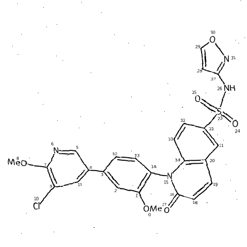 COc1cc(-c2cnc(OC)c(Cl)c2)ccc1-n1c(=O)ccc2cc(S(=O)(=O)Nc3ccon3)ccc21